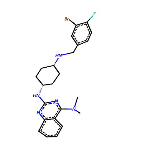 CN(C)c1nc(N[C@H]2CC[C@@H](NCc3ccc(F)c(Br)c3)CC2)nc2ccccc12